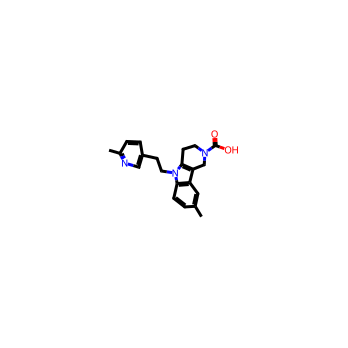 Cc1ccc2c(c1)c1c(n2CCc2ccc(C)nc2)CCN(C(=O)O)C1